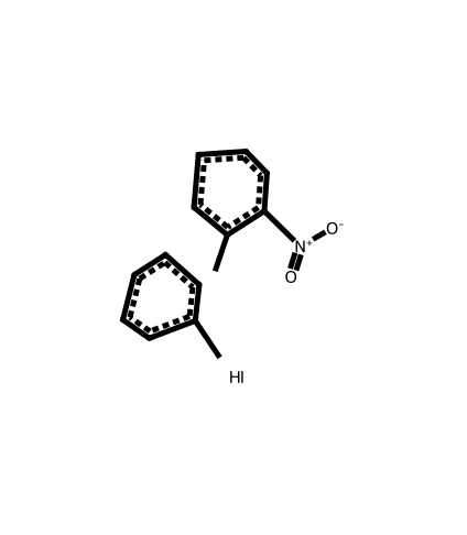 Cc1ccccc1.Cc1ccccc1[N+](=O)[O-].I